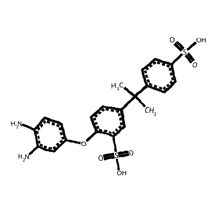 CC(C)(c1ccc(S(=O)(=O)O)cc1)c1ccc(Oc2ccc(N)c(N)c2)c(S(=O)(=O)O)c1